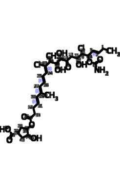 CC/C=C/[C@@H](OC(N)=O)[C@@H](Cl)[C@H](O)CC(=O)[C@@H](O)[C@H](O)[C@H](C)/C(Cl)=C/C=C/C=C(C)/C=C/CCC(=O)O[C@@H]1C[C@@H](C(=O)O)C[C@@H]1O